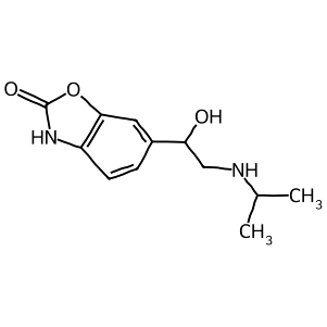 CC(C)NCC(O)c1ccc2[nH]c(=O)oc2c1